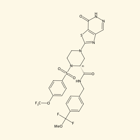 COC(F)(F)c1ccc(CNC(=O)[C@H]2CN(c3nc4cn[nH]c(=O)c4s3)CCN2S(=O)(=O)c2ccc(OC(F)(F)F)cc2)cc1